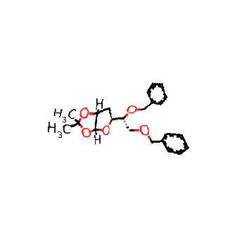 CC1(C)O[C@H]2O[C@H]([C@@H](COCc3ccccc3)OCc3ccccc3)C[C@H]2O1